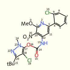 COc1nc(-c2ccccc2Cl)cc(NC(=O)Oc2c(Cl)c(C(C)(C)C)nn2C)c1[N+](=O)[O-]